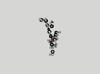 CC(C)Oc1ccccc1[C@H]1CN(c2ccnc(N3CCOC[C@H]3C)c2)CCN1C1CC2(CCN(c3ccc(C(=O)NS(=O)(=O)c4ccc(NC[C@H]5CC[C@](C)(O)CC5)c([N+](=O)[O-])c4)c(N4c5cc6cc[nH]c6nc5O[C@H]5COCC[C@@H]54)c3)CC2)C1